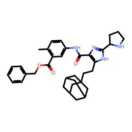 Cc1ccc(NC(=O)c2nc(C3CCCN3)[nH]c2CCC23CC4CC(CC(C4)C2)C3)cc1C(=O)OCc1ccccc1